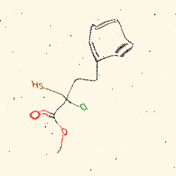 COC(=O)C(S)(Cl)CCc1ccccc1